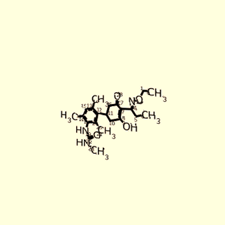 CCON=C(CC)C1=C(O)CC(c2c(C)cc(C)c(NC(=O)NC)c2C)CC1=O